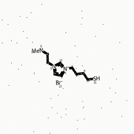 CNCCn1cc[n+](CCCCS)c1.[Br-]